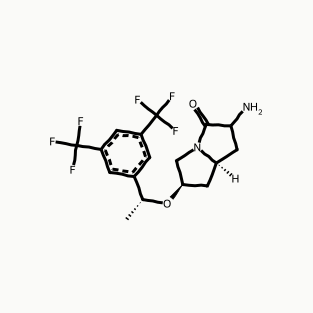 C[C@@H](O[C@@H]1C[C@@H]2CC(N)C(=O)N2C1)c1cc(C(F)(F)F)cc(C(F)(F)F)c1